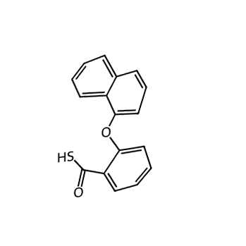 O=C(S)c1ccccc1Oc1cccc2ccccc12